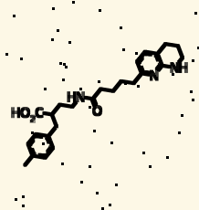 Cc1ccc(CC(CCNC(=O)CCCCc2ccc3c(n2)NCCC3)C(=O)O)cc1